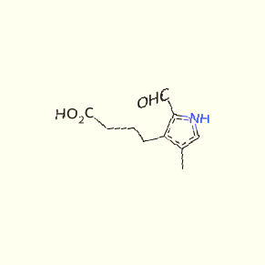 Cc1c[nH]c(C=O)c1CCCC(=O)O